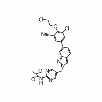 CS(=O)(=O)Nc1ncc(Cn2cc3ccc(-c4cc(Cl)c(OCCCl)c(C#N)c4)cc3n2)cn1